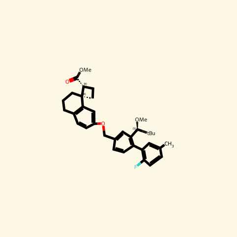 COC(=O)[C@@H]1CC[C@]12CCCc1ccc(OCc3ccc(-c4cc(C)ccc4F)c([C@@H](OC)C(C)(C)C)c3)cc12